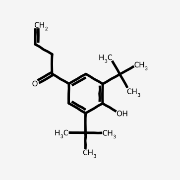 C=CCC(=O)c1cc(C(C)(C)C)c(O)c(C(C)(C)C)c1